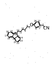 N#CCc1ccc(OCCCCCCn2c3ccccc3c3ccccc32)cc1